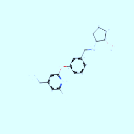 NCc1cc(Oc2cccc(CN[C@H]3CCC[C@H]3O)c2)nc(C(F)(F)F)c1